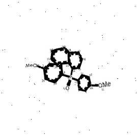 COc1ccc(P(=O)(c2ccc(OC)cc2)c2cccc3ccccc23)cc1